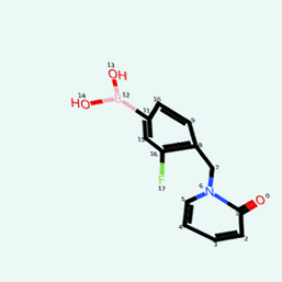 O=c1ccccn1Cc1ccc(B(O)O)cc1F